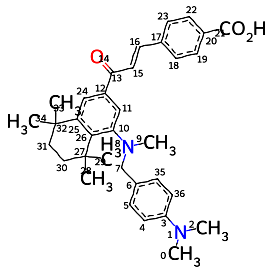 CN(C)c1ccc(CN(C)c2cc(C(=O)/C=C/c3ccc(C(=O)O)cc3)cc3c2C(C)(C)CCC3(C)C)cc1